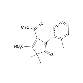 COC(=O)C1=C(C(=O)O)C(C)(C)C(=O)N1c1ccccc1C